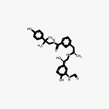 C[C@H](Cc1cccc(C(=O)NCC(C)(C)c2ccc(O)cc2)c1)NC[C@H](O)c1ccc(O)c(NC=O)c1